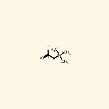 C[N+](C)(C)CC(=O)I